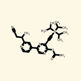 CC(CC#N)c1cc(-c2cnc(OC(N)=O)c(C#C[Si](C(C)C)(C(C)C)C(C)C)n2)ccn1